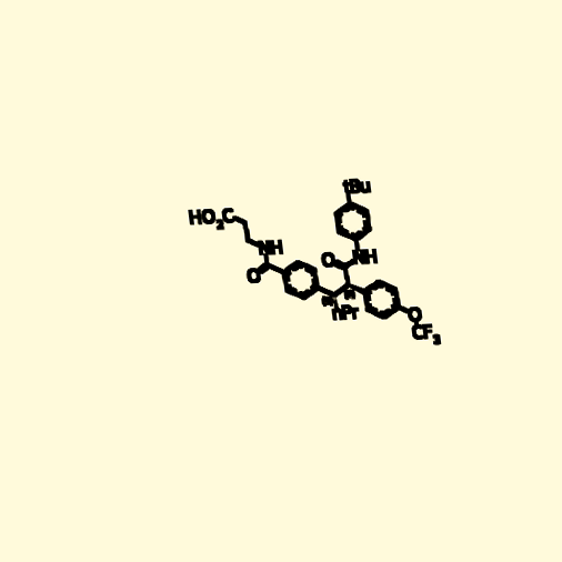 CCC[C@H](c1ccc(C(=O)NCCC(=O)O)cc1)[C@@H](C(=O)Nc1ccc(C(C)(C)C)cc1)c1ccc(OC(F)(F)F)cc1